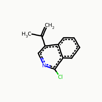 C=C(C)c1cnc(Cl)c2ccccc12